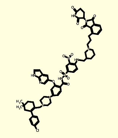 CC1(C)CCC(CN2CCN(c3ccc(C(=O)NS(=O)(=O)c4ccc(NCC5CCCN(CCCc6cccc7c6C(=O)N(C6CCC(=O)NC6=O)C7=O)C5)c([N+](=O)[O-])c4)c(Oc4cnc5[nH]ccc5c4)c3)CC2)=C(c2ccc(Cl)cc2)C1